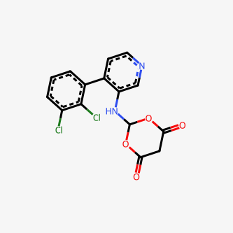 O=C1CC(=O)OC(Nc2cnccc2-c2cccc(Cl)c2Cl)O1